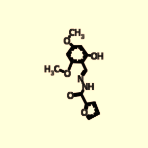 COc1cc(O)c(/C=N/NC(=O)c2ccco2)c(OC)c1